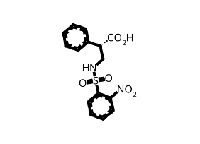 O=C(O)[C@H](CNS(=O)(=O)c1ccccc1[N+](=O)[O-])c1ccccc1